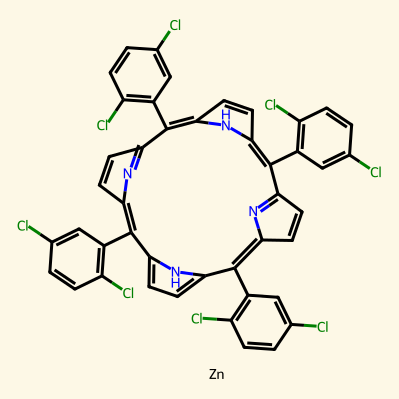 Clc1ccc(Cl)c(-c2c3nc(c(-c4cc(Cl)ccc4Cl)c4ccc([nH]4)c(-c4cc(Cl)ccc4Cl)c4nc(c(-c5cc(Cl)ccc5Cl)c5ccc2[nH]5)C=C4)C=C3)c1.[Zn]